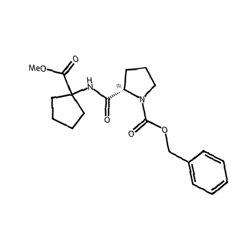 COC(=O)C1(NC(=O)[C@@H]2CCCN2C(=O)OCc2ccccc2)CCCC1